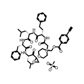 C#Cc1ccc(C(=O)OC[N+]2(CC(=O)N[C@@H](CCc3ccccc3)C(=O)N[C@@H](CC(C)C)C(=O)N[C@@H](Cc3ccccc3)C(=O)N[C@@H](CC(C)C)C(=O)[C@@]3(C)CO3)CCOCC2)cc1.CS(=O)(=O)[O-]